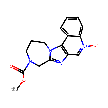 CC(C)(C)OC(=O)N1CCCn2c(nc3c[n+]([O-])c4ccccc4c32)C1